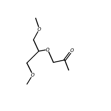 COCC(COC)OCC(C)=O